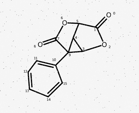 O=C1OC2C3C1OC(=O)C23c1ccccc1